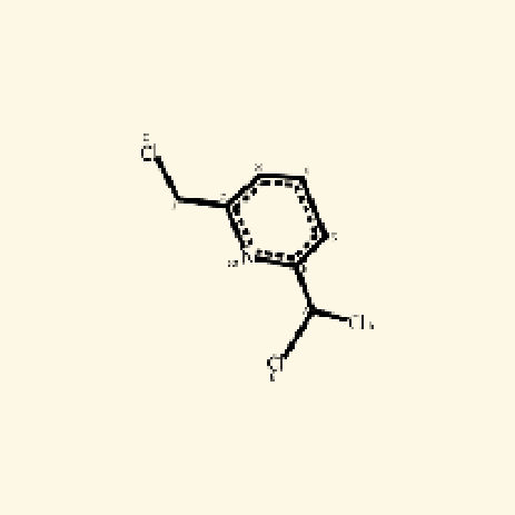 ClCc1cccc(C(Cl)Cl)n1